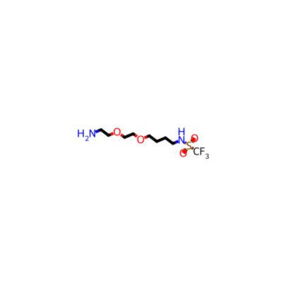 NCCOCCOCCCCNS(=O)(=O)C(F)(F)F